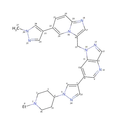 CCN1CCC(n2cc(-c3cnc4cnn(Cc5cnc6ccc(-c7cnn(C)c7)cn56)c4c3)cn2)CC1